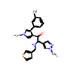 Cn1cc(C(=O)C(NCc2ccsc2)c2cnn(C)c2)c(-c2cccc(C#N)c2)c1